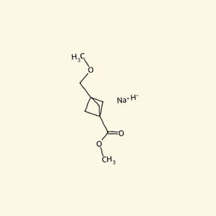 COCC12CC(C(=O)OC)(C1)C2.[H-].[Na+]